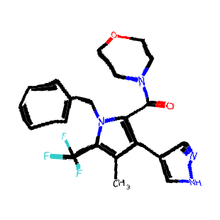 Cc1c(-c2cn[nH]c2)c(C(=O)N2CCOCC2)n(Cc2ccccc2)c1C(F)(F)F